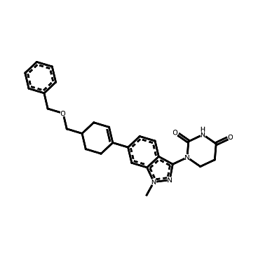 Cn1nc(N2CCC(=O)NC2=O)c2ccc(C3=CCC(COCc4ccccc4)CC3)cc21